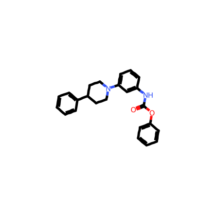 O=C(Nc1cccc(N2CCC(c3ccccc3)CC2)c1)Oc1ccccc1